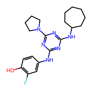 Oc1ccc(Nc2nc(NC3CCCCCC3)nc(N3CCCC3)n2)cc1F